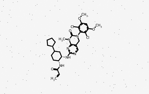 C=CC(=O)N[C@@H]1CCC(C2CCCC2)C[C@@H]1Nc1ncc2c(n1)N(C)C(=O)N(c1c(Cl)c(OC)cc(OC)c1Cl)C2